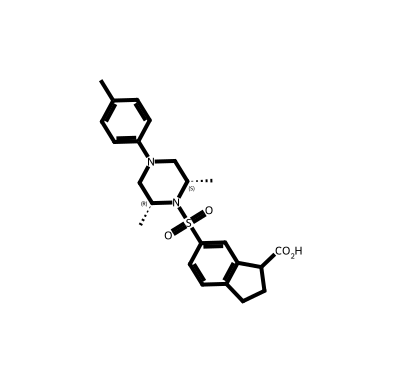 Cc1ccc(N2C[C@@H](C)N(S(=O)(=O)c3ccc4c(c3)C(C(=O)O)CC4)[C@@H](C)C2)cc1